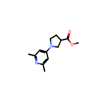 COC(=O)C1CCN(c2cc(C)nc(C)c2)C1